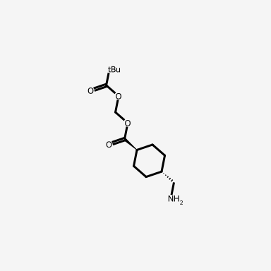 CC(C)(C)C(=O)OCOC(=O)[C@H]1CC[C@H](CN)CC1